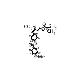 C=C(C)C(=O)OCCC(=Cc1ccc(OC(=O)c2ccc(OC)cc2)cc1)C(=O)O